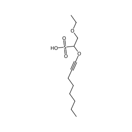 CCCCCCC#COC(COCC)S(=O)(=O)O